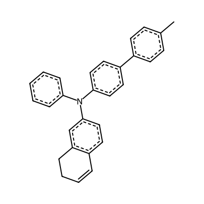 Cc1ccc(-c2ccc(N(c3ccccc3)c3ccc4c(c3)CCC=C4)cc2)cc1